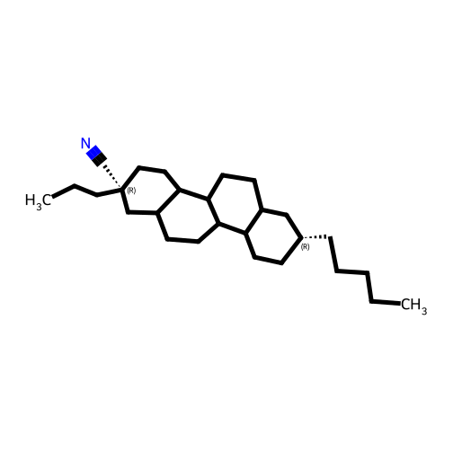 CCCCC[C@@H]1CCC2C(CCC3C4CC[C@](C#N)(CCC)CC4CCC23)C1